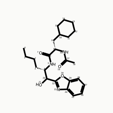 CCCC[C@H](NC(=O)[C@H](CC1CCCCC1)NC(C)=O)C(O)c1nc2ccccc2o1